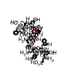 CCCC[C@@H](C(=O)N1C[C@H](O)C[C@@H]1C(=O)N[C@@H](CC(=O)O)C(=O)N[C@H](C(=O)N(C)[C@H](C=O)Cc1ccccc1)C(C)C)N(C)C(=O)[C@H](Cc1ccccc1)N(C)C(=O)[C@H](Cc1cc(F)c(F)c(F)c1)NC(=O)CSC[C@H](NC(=O)[C@H](CCN)NC(=O)[C@H](Cc1ccc(O)cc1)NC(=O)[C@H](Cc1c[nH]c2ccccc12)NC(=O)[C@H]1C[C@@H](O)CN1C(=O)[C@@H](N)CCC(=O)O)C(=O)NCC(N)=O